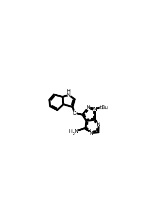 CC(C)(C)n1nc(OC2=CNC3C=CC=CC23)c2c(N)ncnc21